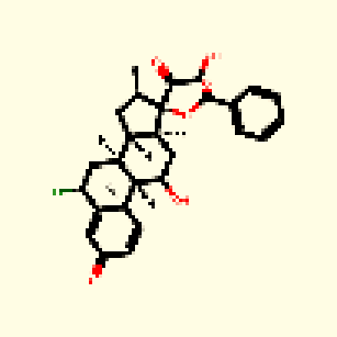 C[C@@H]1C[C@H]2[C@@H]3C[C@H](F)C4=CC(=O)C=C[C@]4(C)[C@H]3C(O)C[C@]2(C)[C@@]1(OC(=O)c1ccccc1)C(=O)CO